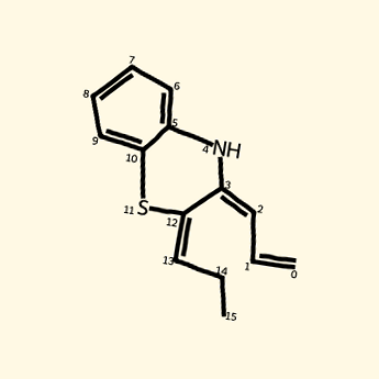 C=C/C=C1/Nc2ccccc2S/C1=C/CC